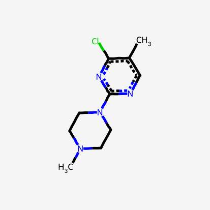 Cc1cnc(N2CCN(C)CC2)nc1Cl